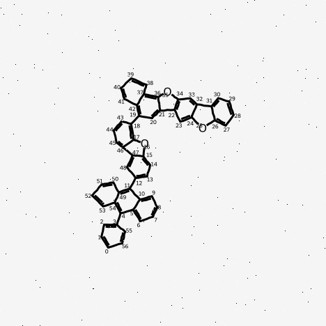 c1ccc(-c2c3ccccc3c(-c3ccc4oc5c(-c6cc7c8cc9oc%10ccccc%10c9cc8oc7c7ccccc67)cccc5c4c3)c3ccccc23)cc1